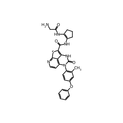 Cc1cc(Oc2ccccc2)ccc1N1C(=O)Nc2c(C(=O)NC3=C(NC(=O)CN)CCC3)sc3nccc1c23